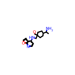 CC(N)C1CCC(C=O)(CNc2ccnc3occc23)CC1